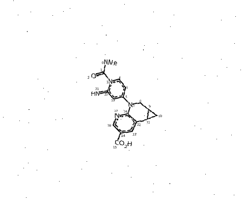 CNC(=O)n1ccc(N2CC3CC3c3cc(C(=O)O)cnc32)cc1=N